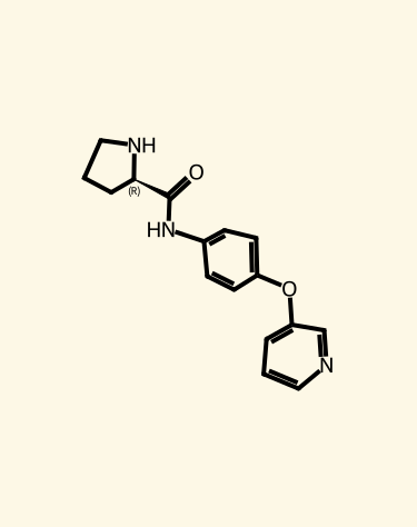 O=C(Nc1ccc(Oc2cccnc2)cc1)[C@H]1CCCN1